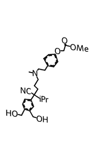 COC(=O)COc1ccc(CCN(C)CCCC(C#N)(c2ccc(CO)c(CO)c2)C(C)C)cc1